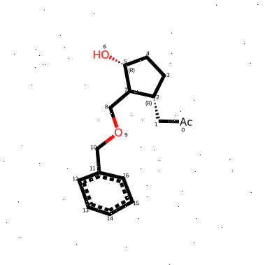 CC(=O)C[C@H]1CC[C@@H](O)C1COCc1ccccc1